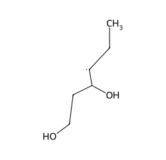 CC[CH]C(O)CCO